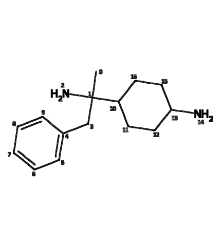 CC(N)(Cc1ccccc1)C1CCC(N)CC1